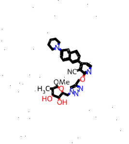 COC1OC(Cn2cc(COc3nccc(-c4ccc5cc(N6CCCCC6)ccc5c4)c3C#N)nn2)C(O)C(O)C1C